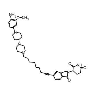 COc1cc(N2CCC(N3CCN(CCCCCCCC#Cc4ccc5c(c4)CN(C4CCC(=O)NC4=O)C5=O)CC3)CC2)ccc1N